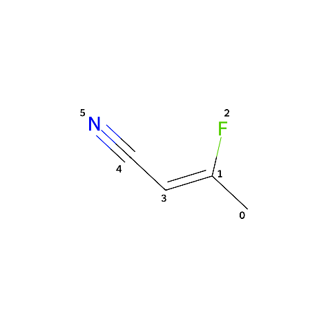 C/C(F)=C/C#N